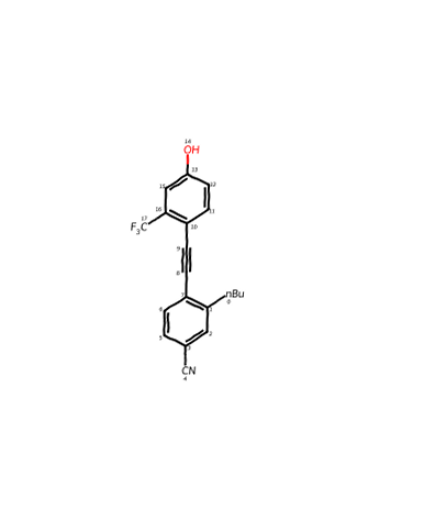 CCCCc1cc(C#N)ccc1C#Cc1ccc(O)cc1C(F)(F)F